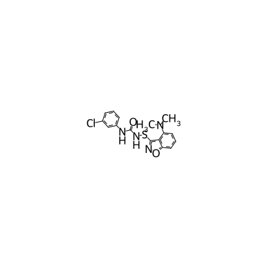 CN(C)c1cccc2onc(SNC(=O)Nc3cccc(Cl)c3)c12